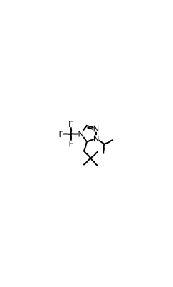 CC(C)N1N=CN(C(F)(F)F)C1CC(C)(C)C